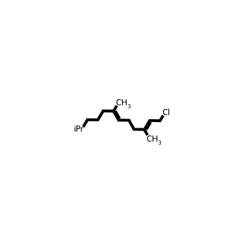 CC(=CCCl)CCC=C(C)CCCC(C)C